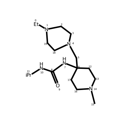 CCN1CCN(CC2(NC(=O)NC(C)C)CCN(C)CC2)CC1